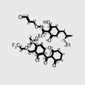 CCSC(C)CC1CC(=O)C(/C(CC)=N/OC/C=C/Cl)=C(O)C1.CS(=O)(=O)c1ccc(C(=O)C2C(=O)CCCC2=O)c(Cl)c1COCC(F)(F)F